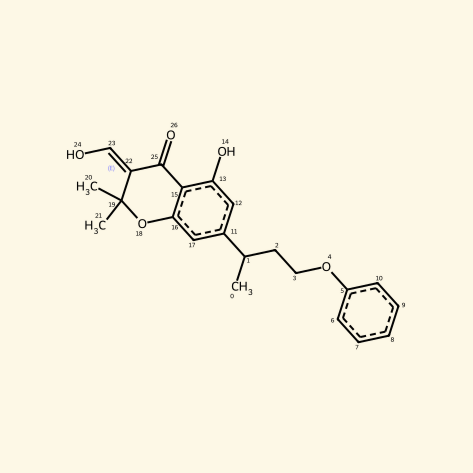 CC(CCOc1ccccc1)c1cc(O)c2c(c1)OC(C)(C)/C(=C\O)C2=O